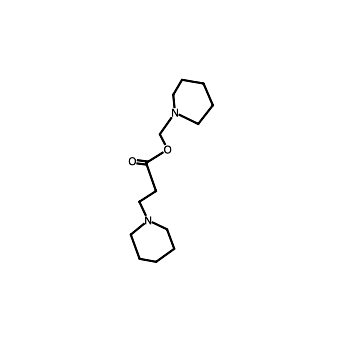 O=C(CCN1CCCCC1)OCN1CCCCC1